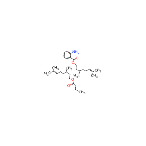 CC(C)=CCCC(C)CCOC(=O)c1ccccc1N.CCCC(=O)OCCC(C)CCC=C(C)C